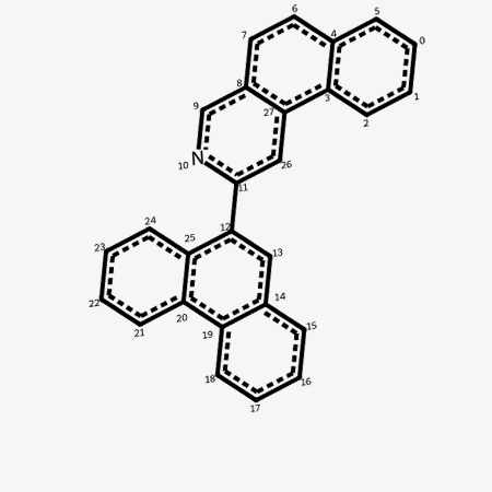 c1ccc2c(c1)ccc1cnc(-c3cc4ccccc4c4ccccc34)cc12